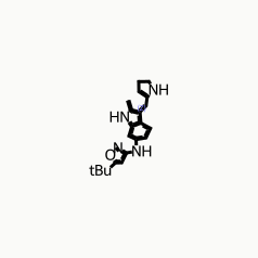 C=c1[nH]c2cc(Nc3cc(C(C)(C)C)on3)ccc2/c1=C/C1=CCCN1